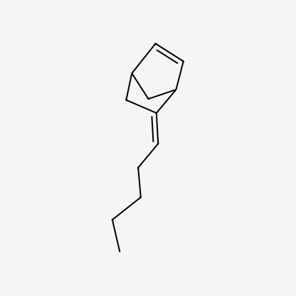 CCCCC=C1CC2C=CC1C2